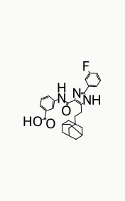 O=C(O)c1cccc(NC(=O)c2nc(-c3cccc(F)c3)[nH]c2CCC23CC4CC(CC(C4)C2)C3)c1